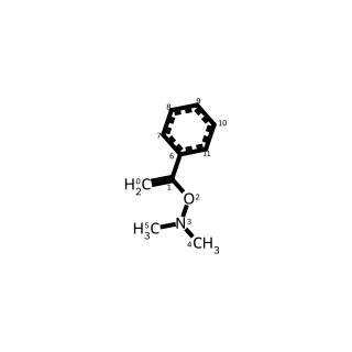 C=C(ON(C)C)c1ccccc1